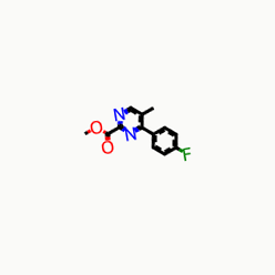 COC(=O)c1ncc(C)c(-c2ccc(F)cc2)n1